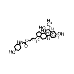 CC[C@H]1[C@@H](O)[C@@H]2[C@H](CC[C@]3(C)[C@@H](CCCOC(=O)N[C@H]4CC[C@H](O)CC4)CC[C@@H]23)[C@@]2(C)CC[C@@H](O)C[C@@H]12